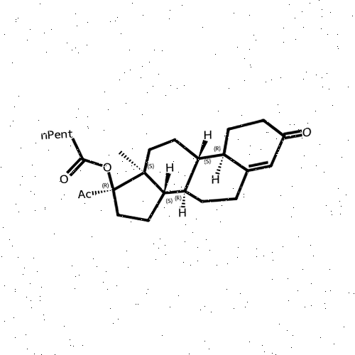 CCCCCC(=O)O[C@]1(C(C)=O)CC[C@H]2[C@@H]3CCC4=CC(=O)CC[C@@H]4[C@H]3CC[C@@]21C